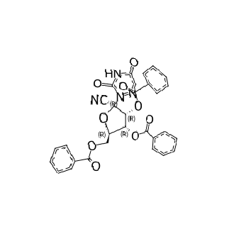 N#C[C@@]1(n2ncc(=O)[nH]c2=O)O[C@H](COC(=O)c2ccccc2)[C@@H](OC(=O)c2ccccc2)[C@H]1OC(=O)c1ccccc1